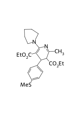 CCOC(=O)C1=C(N2CCCCC2)N=C(C)C(C(=O)OCC)C1c1ccc(SC)cc1